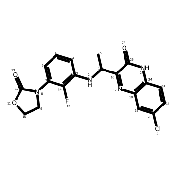 CC(Nc1cccc(N2CCOC2=O)c1F)c1nc2cc(Cl)ccc2[nH]c1=O